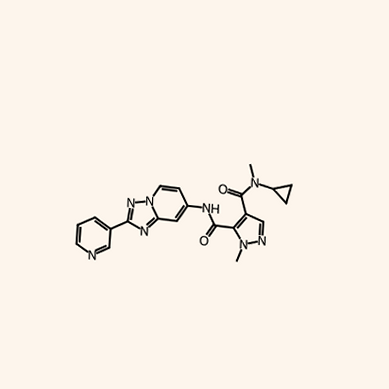 CN(C(=O)c1cnn(C)c1C(=O)Nc1ccn2nc(-c3cccnc3)nc2c1)C1CC1